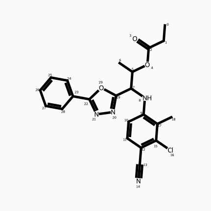 CCC(=O)OC(C)C(Nc1ccc(C#N)c(Cl)c1C)c1nnc(-c2ccccc2)o1